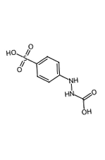 O=C(O)NNc1ccc(S(=O)(=O)O)cc1